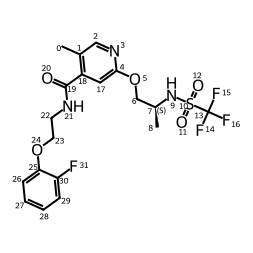 Cc1cnc(OC[C@H](C)NS(=O)(=O)C(F)(F)F)cc1C(=O)NCCOc1ccccc1F